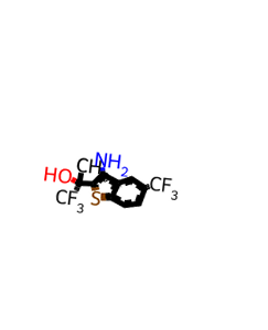 CC(O)(c1sc2ccc(C(F)(F)F)cc2c1N)C(F)(F)F